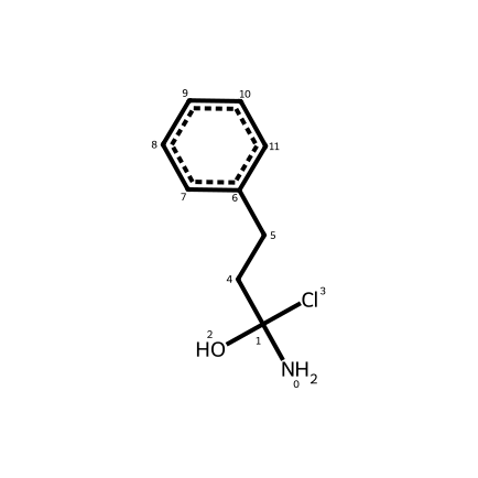 NC(O)(Cl)CCc1ccccc1